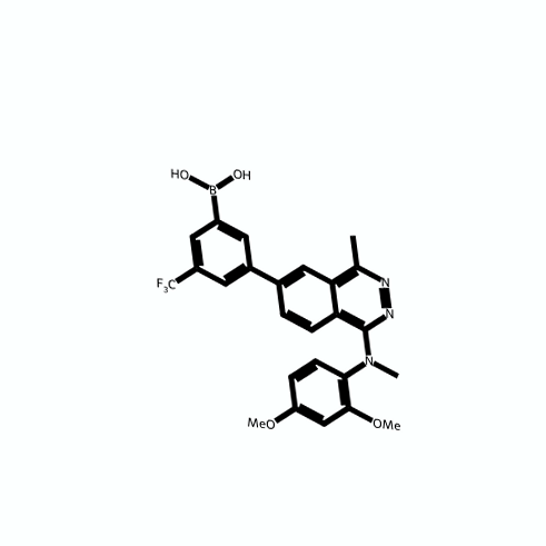 COc1ccc(N(C)c2nnc(C)c3cc(-c4cc(B(O)O)cc(C(F)(F)F)c4)ccc23)c(OC)c1